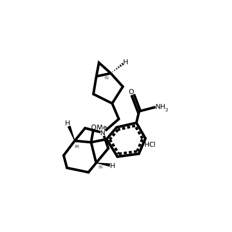 COC1(c2cccc(C(N)=O)c2)[C@@H]2CCC[C@H]1CN(CC1CC3C[C@H]3C1)C2.Cl